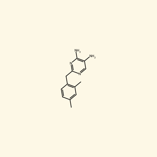 Cc1ccc(Cc2ncc(N)c(N)n2)c(C)c1